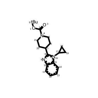 CC(C)(C)OC(=O)N1CCC(c2nc3ccccc3n2C2CC2)CC1